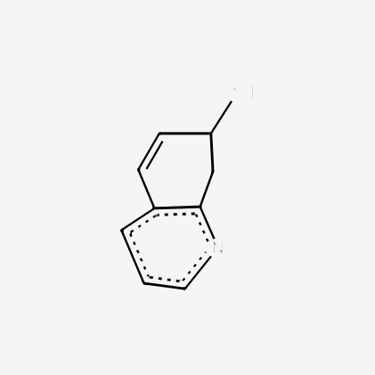 SC1C=Cc2cccnc2C1